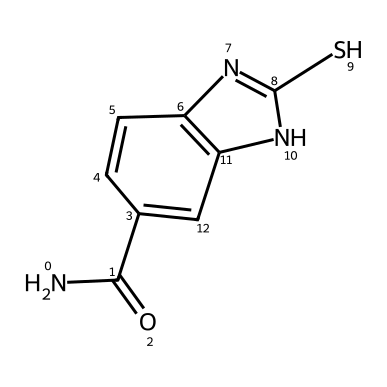 NC(=O)c1ccc2nc(S)[nH]c2c1